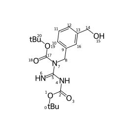 CC(C)(C)OC(=O)NC(=N)N(Cc1cccc(CO)c1)C(=O)OC(C)(C)C